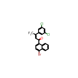 O=C(/C=C(\c1cc(Cl)cc(Cl)c1)C(F)(F)F)c1ccc(Br)c2ccccc12